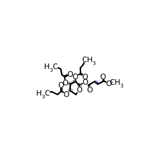 CCCC(=O)O[C@@H]1[C@@H](OC(=O)CCC)[C@@H](OC(=O)/C=C/C(=O)OC)OC[C@@H]1OC(=O)CCC